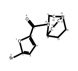 O=C(c1ccc(Br)o1)N1CCN2CCC1CC2